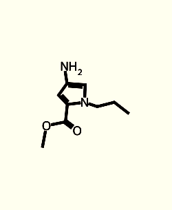 CCCn1cc(N)cc1C(=O)OC